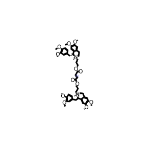 COc1ccc(CC2c3cc(OC)c(OC)cc3CC[N@@+]2(C)CCCOC(=O)/C=C/C(=O)OCCC[N@+]2(C)CCc3cc(OC)c(OC)cc3[C@H]2Cc2ccc(OC)c(OC)c2)cc1OC